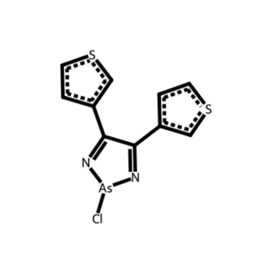 Cl[As]1N=C(c2ccsc2)C(c2ccsc2)=N1